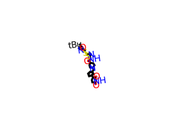 CC(C)(C)c1cnc(CSc2cnc(NC(=O)C3CCN(Cc4cccc(C5CCC(=O)NC5=O)c4)CC3)s2)o1